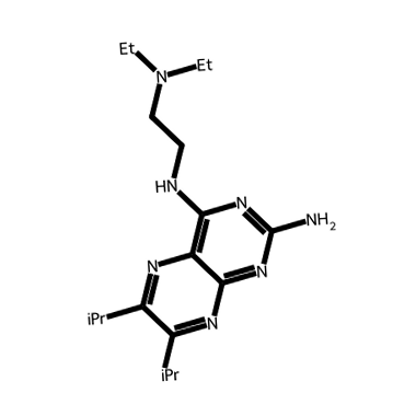 CCN(CC)CCNc1nc(N)nc2nc(C(C)C)c(C(C)C)nc12